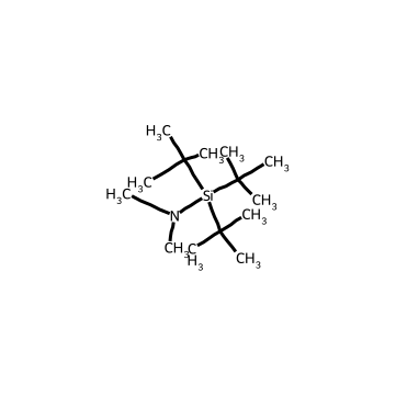 CN(C)[Si](C(C)(C)C)(C(C)(C)C)C(C)(C)C